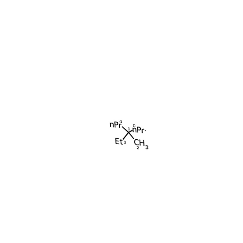 CC[CH]C(C)(CC)CCC